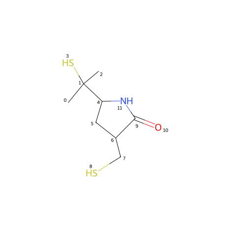 CC(C)(S)C1CC(CS)C(=O)N1